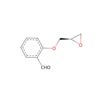 O=Cc1ccccc1OC[C@H]1CO1